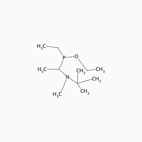 CCOP(CC)C(C)N(C)C(C)(C)C